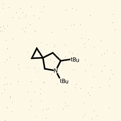 CC(C)(C)C1CC2(CC2)CN1C(C)(C)C